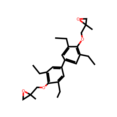 CCc1cc(-c2cc(CC)c(OCC3(C)CO3)c(CC)c2)cc(CC)c1OCC1(C)CO1